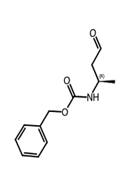 C[C@H](CC=O)NC(=O)OCc1ccccc1